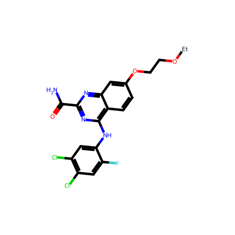 CCOCCOc1[c]cc2c(Nc3cc(Cl)c(Cl)cc3F)nc(C(N)=O)nc2c1